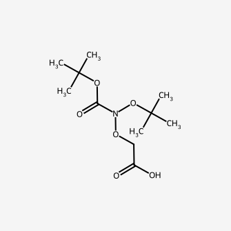 CC(C)(C)OC(=O)N(OCC(=O)O)OC(C)(C)C